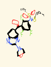 CCCSN(c1cc(F)c(F)c(C(=O)c2ccc3ncc(N4CCOCC4)nc3c2)c1F)S(=O)(=O)CCC